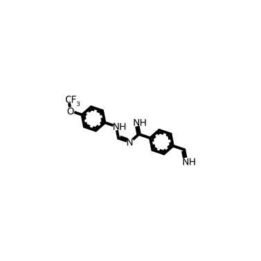 N=Cc1ccc(C(=N)/N=C\Nc2ccc(OC(F)(F)F)cc2)cc1